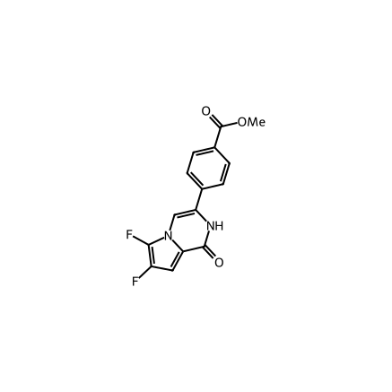 COC(=O)c1ccc(-c2cn3c(F)c(F)cc3c(=O)[nH]2)cc1